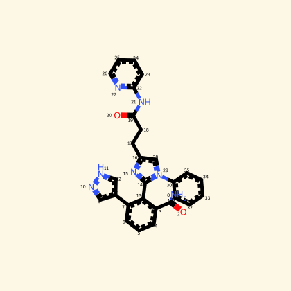 NC(=O)c1cccc(-c2cn[nH]c2)c1-c1nc(CCC(=O)Nc2ccccn2)cn1-c1ccccc1